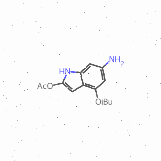 CC(=O)Oc1cc2c(OCC(C)C)cc(N)cc2[nH]1